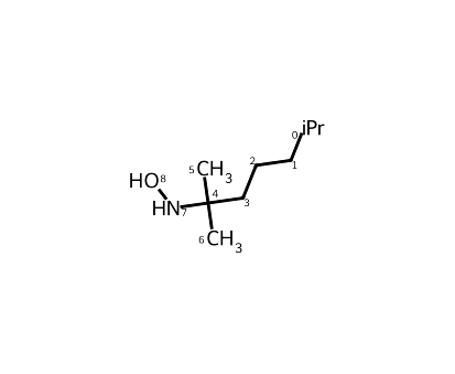 CC(C)CCCC(C)(C)NO